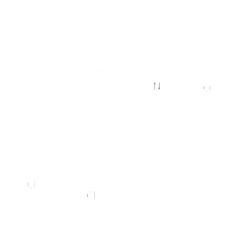 C=CCC(c1ccc(Cl)c(Cl)c1)C1c2ccccc2C(=O)N1C